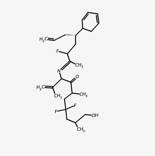 C=CC[C@@H](CC(F)/C(C)=N/C(C(=C)C)C(=O)C(C)CC(F)(F)CC(C)CO)C1C=CC=CC1